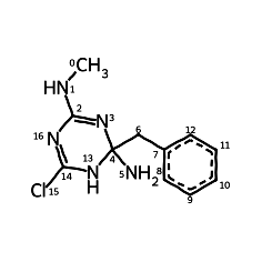 CNC1=NC(N)(Cc2ccccc2)NC(Cl)=N1